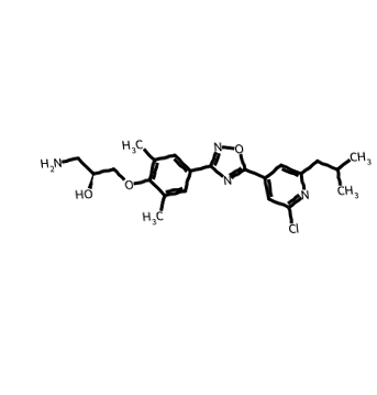 Cc1cc(-c2noc(-c3cc(Cl)nc(CC(C)C)c3)n2)cc(C)c1OC[C@@H](O)CN